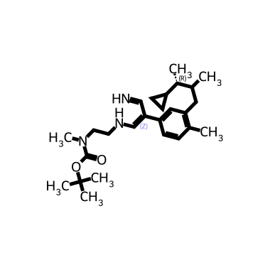 Cc1ccc(/C(C=N)=C/NCCN(C)C(=O)OC(C)(C)C)cc1CC(C)[C@@H](C)C1CC1